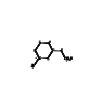 CC(C)N1CCCC(CC(=O)O)C1